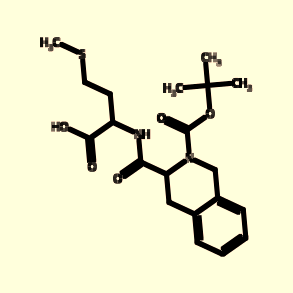 CSCCC(NC(=O)C1Cc2ccccc2CN1C(=O)OC(C)(C)C)C(=O)O